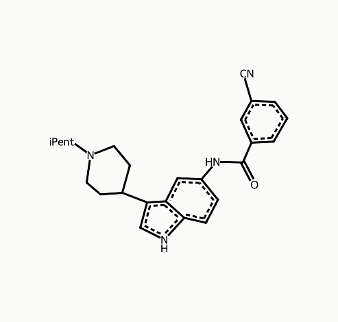 CCCC(C)N1CCC(c2c[nH]c3ccc(NC(=O)c4cccc(C#N)c4)cc23)CC1